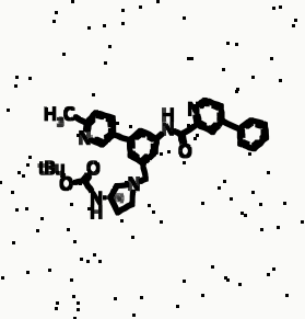 Cc1ccc(-c2cc(CN3CC[C@H](NC(=O)OC(C)(C)C)C3)cc(NC(=O)c3cc(-c4ccccc4)ccn3)c2)cn1